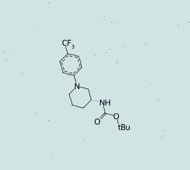 CC(C)(C)OC(=O)N[C@@H]1CCCN(c2ccc(C(F)(F)F)cc2)C1